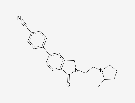 CC1CCCN1CCN1Cc2cc(-c3ccc(C#N)cc3)ccc2C1=O